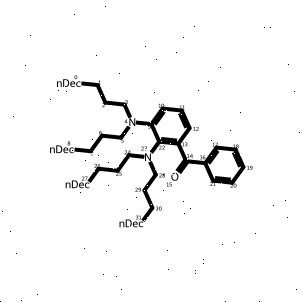 CCCCCCCCCCCCCN(CCCCCCCCCCCCC)c1cccc(C(=O)c2ccccc2)c1N(CCCCCCCCCCCCC)CCCCCCCCCCCCC